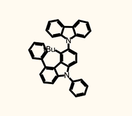 CC(C)(C)c1c(-n2c3ccccc3c3ccccc32)ccc2c1c1c(-c3ccccc3)cccc1n2-c1ccccc1